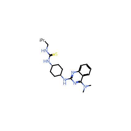 CC(C)CNC(=S)N[C@H]1CC[C@@H](Nc2nc(N(C)C)c3ccccc3n2)CC1